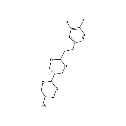 CCCC1COC(C2COC(CCc3ccc(F)c(F)c3)OC2)OC1